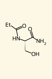 CCC(=O)N[C@@H](CO)C(N)=O